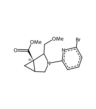 COCC1N(c2cccc(Br)n2)CC2C[C@@]21C(=O)OC